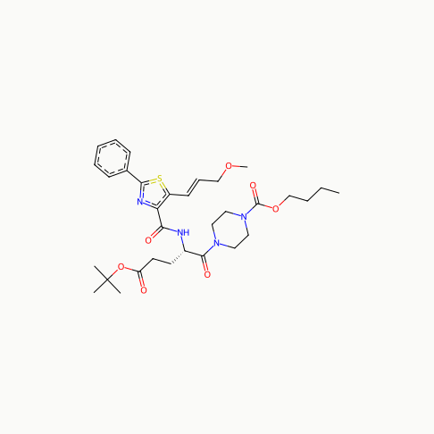 CCCCOC(=O)N1CCN(C(=O)[C@H](CCC(=O)OC(C)(C)C)NC(=O)c2nc(-c3ccccc3)sc2C=CCOC)CC1